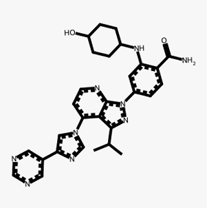 CC(C)c1nn(-c2ccc(C(N)=O)c(NC3CCC(O)CC3)c2)c2nccc(-n3cnc(-c4cncnc4)c3)c12